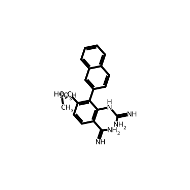 CS(=O)(=O)O.N=C(N)Nc1c(C(=N)N)ccc(C(=O)O)c1-c1ccc2ccccc2c1